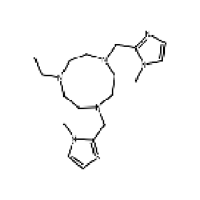 CCN1CCN(Cc2nccn2C)CCN(Cc2nccn2C)CC1